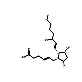 CCCCCC(O)C=C[C@H]1[C@H](CC=CCCC(=O)O)[C@H](O)C[C@@H]1O